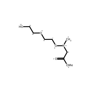 COC(=O)CN(C)OCCOCCO